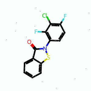 O=c1c2ccccc2sn1-c1ccc(F)c(Cl)c1F